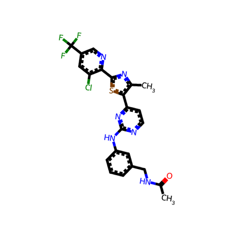 CC(=O)NCc1cccc(Nc2nccc(-c3sc(-c4ncc(C(F)(F)F)cc4Cl)nc3C)n2)c1